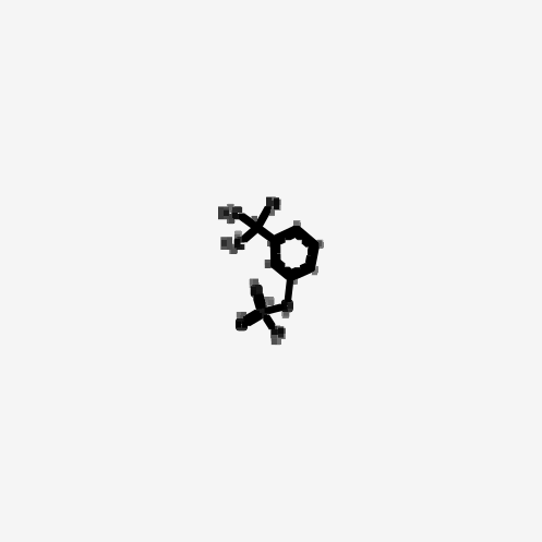 CCC(C)(C)c1cccc(OS(=O)(=O)CC)c1